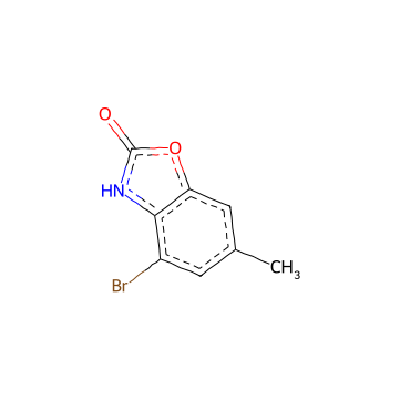 Cc1cc(Br)c2[nH]c(=O)oc2c1